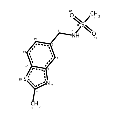 Cc1nc2cc(CNS(C)(=O)=O)ccc2s1